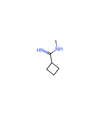 CNC(=N)C1CCC1